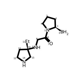 B[C@@H]1CCCN1C(=O)CN[C@@]1(CC)CCNC1